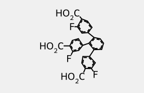 O=C(O)c1ccc(-c2cccc(-c3ccc(C(=O)O)c(F)c3)c2-c2ccc(C(=O)O)c(F)c2)cc1F